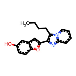 CCCCc1c(-c2cc3cc(O)ccc3o2)nc2ccccn12